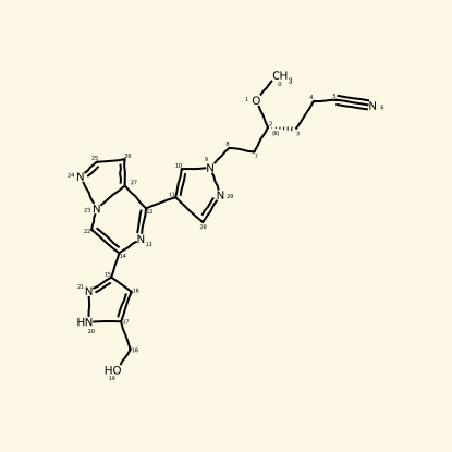 CO[C@H](CCC#N)CCn1cc(-c2nc(-c3cc(CO)[nH]n3)cn3nccc23)cn1